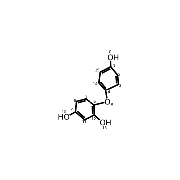 Oc1ccc(Oc2ccc(O)cc2O)cc1